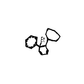 CCC1(c2ccccc2)C=CC=CC1C1CCCCC1